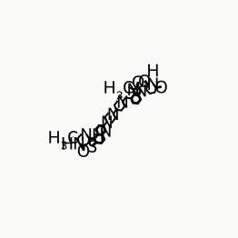 C[C@@H]1CNc2c(sc3ccc4nc(N5CCN(C6CCN(Cc7cccc8c7n(C)c(=O)n8C7CCC(=O)NC7=O)CC6)CC5)ccc4c23)C(=O)N1